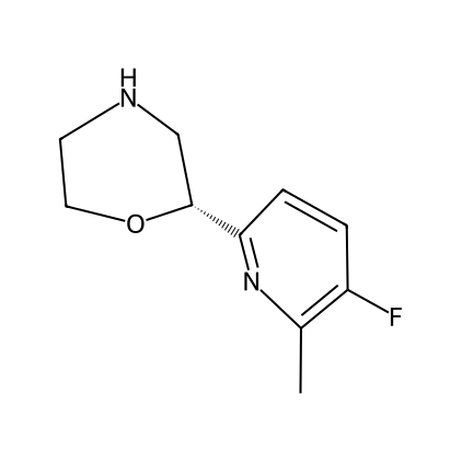 Cc1nc([C@H]2CNCCO2)ccc1F